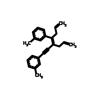 C=CCC(C#Cc1cccc(C)c1)=C(CC=C)c1cccc(C)c1